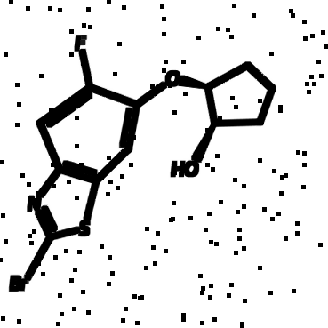 O[C@@H]1CCC[C@@H]1Oc1cc2sc(Br)nc2cc1F